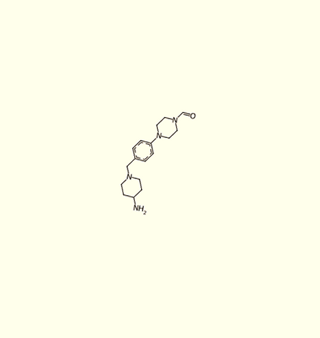 NC1CCN(Cc2ccc(N3CCN(C=O)CC3)cc2)CC1